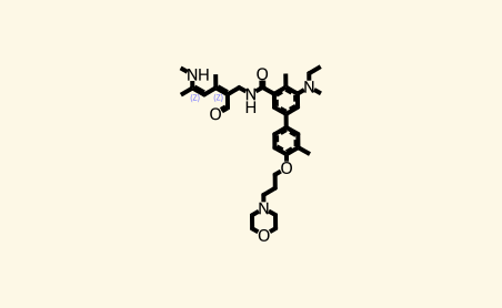 CCN(C)c1cc(-c2ccc(OCCCN3CCOCC3)c(C)c2)cc(C(=O)NC/C(C=O)=C(C)/C=C(/C)NC)c1C